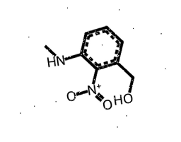 CNc1cccc(CO)c1[N+](=O)[O-]